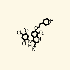 COc1cc(Nc2c(C#N)cnc3c(OC)c(OCCC4CCN(C)CC4)ccc23)c(Cl)cc1Cl